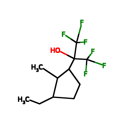 CCC1CCC(C(O)(C(F)(F)F)C(F)(F)F)C1C